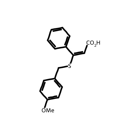 COc1ccc(CS/C(=C/C(=O)O)c2ccccc2)cc1